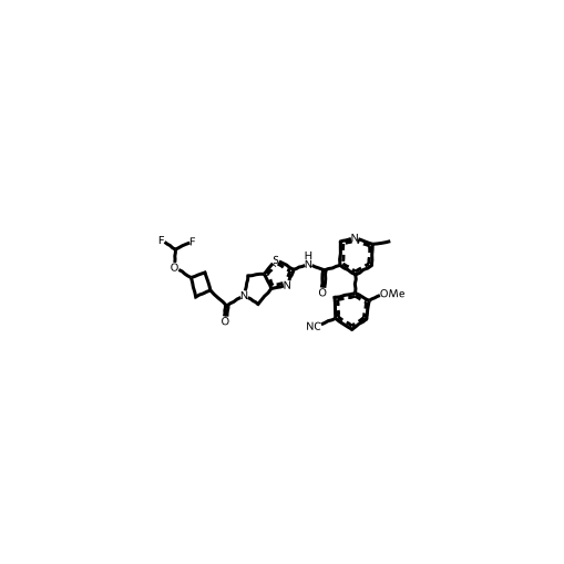 COc1ccc(C#N)cc1-c1cc(C)ncc1C(=O)Nc1nc2c(s1)CN(C(=O)C1CC(OC(F)F)C1)C2